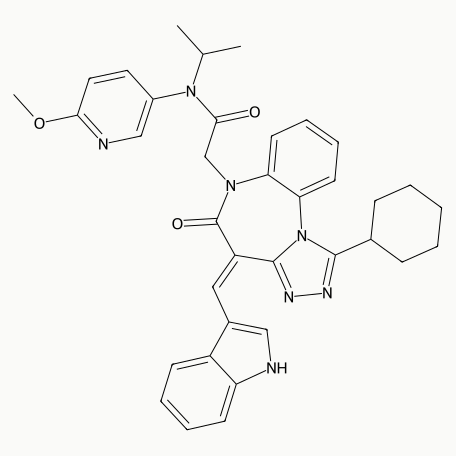 COc1ccc(N(C(=O)CN2C(=O)/C(=C/c3c[nH]c4ccccc34)c3nnc(C4CCCCC4)n3-c3ccccc32)C(C)C)cn1